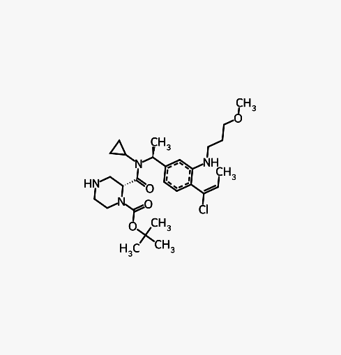 C/C=C(/Cl)c1ccc([C@H](C)N(C(=O)[C@H]2CNCCN2C(=O)OC(C)(C)C)C2CC2)cc1NCCCOC